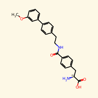 COc1cccc(-c2ccc(CCNC(=O)c3ccc(C[C@H](N)C(=O)O)cc3)cc2)c1